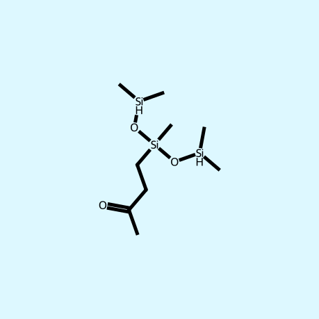 CC(=O)CC[Si](C)(O[SiH](C)C)O[SiH](C)C